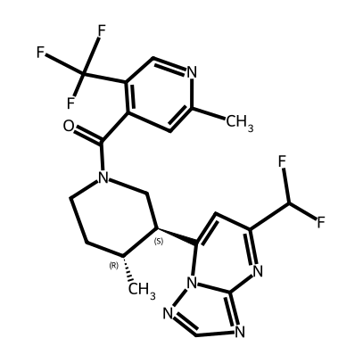 Cc1cc(C(=O)N2CC[C@@H](C)[C@H](c3cc(C(F)F)nc4ncnn34)C2)c(C(F)(F)F)cn1